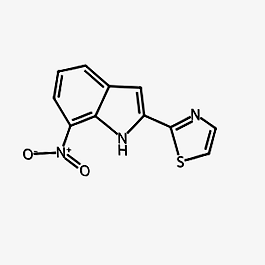 O=[N+]([O-])c1cccc2cc(-c3nccs3)[nH]c12